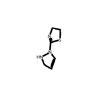 C1=CN(C2=NCCS2)NC1